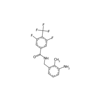 Cc1c(N)cccc1CNC(=O)c1cc(F)c(C(F)(F)F)c(F)c1